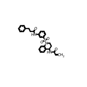 C=CC(=O)NC1CCN(S(=O)(=O)c2cccc(NC(=O)CCc3ccccc3)c2)c2ccccc21